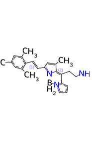 Bn1cccc1/C(CCN)=C1N=C(/C=C/c2c(C)cc(C)cc2C)C=C\1C